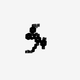 CCCCCCCCCCCCCCOc1cn([C@@H](Cc2ccccc2)C(=O)Nc2ccc(C(=O)O)cc2)c(=O)cc1-c1cc(Cl)ccc1C(C)=O